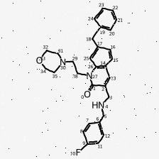 O=c1c(CNCc2ccc(F)cc2)cc2ccc(Cc3ccccc3)cc2n1CCN1CCOCC1